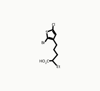 CCC(CCCc1cc(Cl)sc1Br)C(=O)O